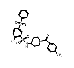 O=S(=O)(NC1CCN(C(=S)c2ccc(C(F)(F)F)cc2)CC1)c1cc(S(=O)(=O)c2ccccc2)ccc1C(F)(F)F